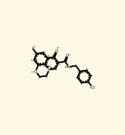 O=C(NCc1ccc(Cl)cc1)c1cn2c3c(cc(I)cc3c1=O)OCC2